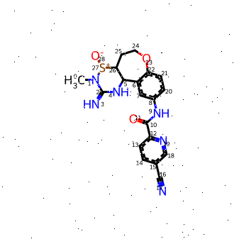 CN1C(=N)NC2c3cc(NC(=O)c4ccc(C#N)cn4)ccc3OCCC2[S+]1[O-]